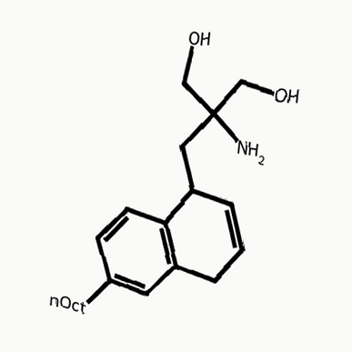 CCCCCCCCc1ccc2c(c1)CC=CC2CC(N)(CO)CO